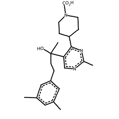 Cc1cc(C)cc(CCC(C)(O)c2cnc(C)nc2C2CCN(C(=O)O)CC2)c1